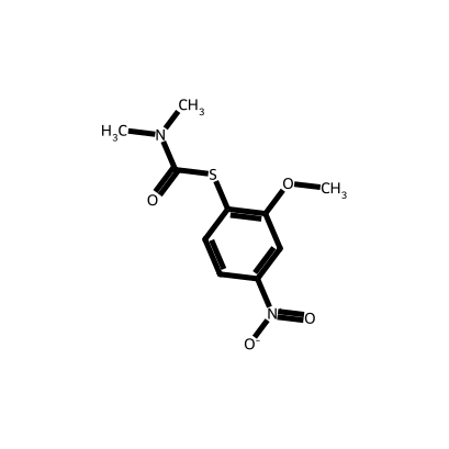 COc1cc([N+](=O)[O-])ccc1SC(=O)N(C)C